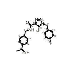 CC(=N)c1ccc(CNC(=O)c2nnn(Cc3ccc(F)cc3)c2C)cc1